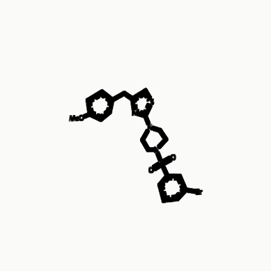 COc1ccc(Cc2csc(N3CCN(S(=O)(=O)c4cccc(Br)c4)CC3)n2)cc1